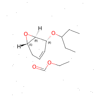 CCC(CC)O[C@@H]1C=CC[C@@H]2O[C@H]21.CCOC=O